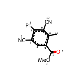 COC(=O)c1cc(C#N)c(C(C)C)c(C#N)c1C